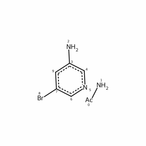 CC(N)=O.Nc1cncc(Br)c1